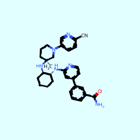 C[C@]1(N[C@@H]2CCCC[C@H]2Nc2cc(-c3cccc(C(N)=O)c3)ccn2)CCCN(c2ccc(C#N)nc2)C1